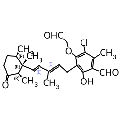 CC(/C=C/[C@@]1(C)[C@H](C)CCC(=O)[C@@H]1C)=C\Cc1c(O)c(C=O)c(C)c(Cl)c1OCC=O